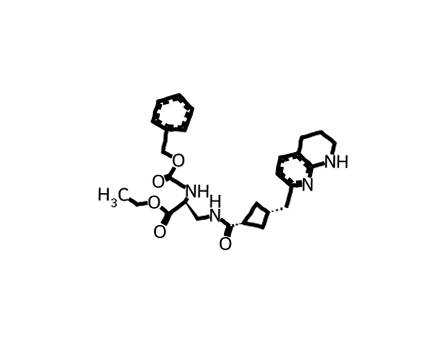 CCOC(=O)[C@H](CNC(=O)[C@H]1C[C@@H](Cc2ccc3c(n2)NCCC3)C1)NC(=O)OCc1ccccc1